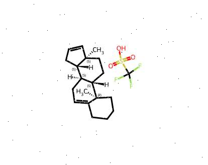 C[C@@]12C=CC[C@H]1[C@@H]1CC=C3CCCC[C@]3(C)[C@H]1CC2.O=S(=O)(O)C(F)(F)F